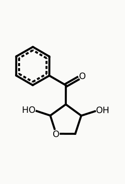 O=C(c1ccccc1)C1C(O)COC1O